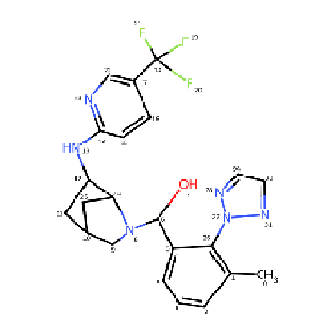 Cc1cccc(C(O)N2CC3CC(Nc4ccc(C(F)(F)F)cn4)C2C3)c1-n1nccn1